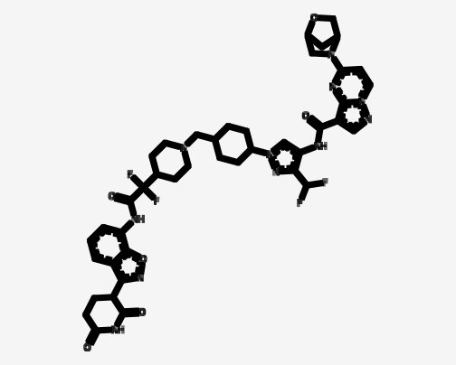 O=C1CCC(c2noc3c(NC(=O)C(F)(F)C4CCN(CC5CCC(n6cc(NC(=O)c7cnn8ccc(N9CC%10CC9CO%10)nc78)c(C(F)F)n6)CC5)CC4)cccc23)C(=O)N1